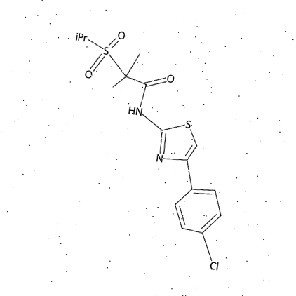 CC(C)S(=O)(=O)C(C)(C)C(=O)Nc1nc(-c2ccc(Cl)cc2)cs1